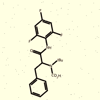 CC(C)(C)N(C(=O)O)C(Cc1ccccc1)C(=O)Nc1c(F)cc(F)cc1F